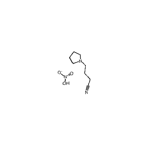 N#CCCCN1CCCC1.O=[N+]([O-])O